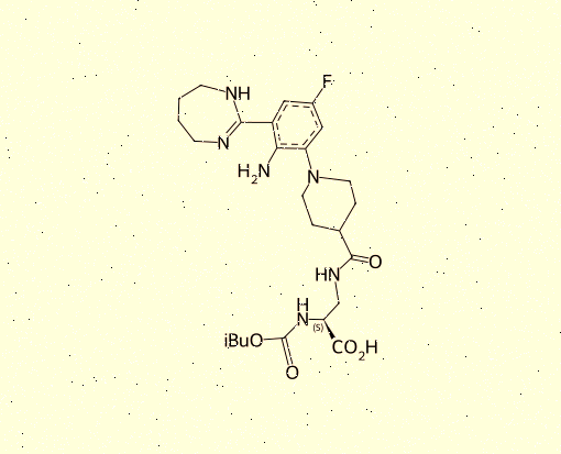 CC(C)COC(=O)N[C@@H](CNC(=O)C1CCN(c2cc(F)cc(C3=NCCCCN3)c2N)CC1)C(=O)O